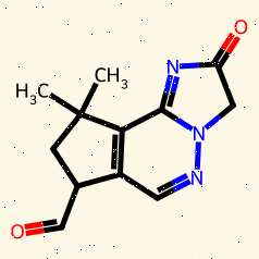 CC1(C)CC(C=O)C2=C1C1=NC(=O)CN1N=C2